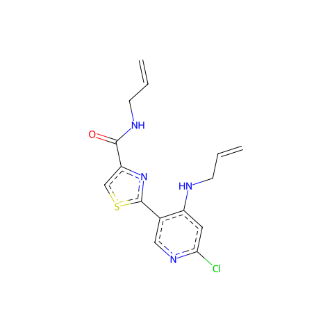 C=CCNC(=O)c1csc(-c2cnc(Cl)cc2NCC=C)n1